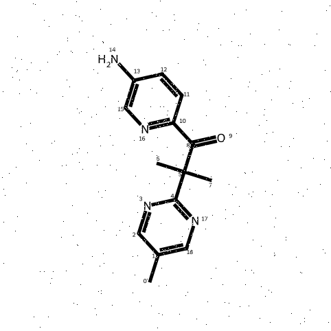 Cc1cnc(C(C)(C)C(=O)c2ccc(N)cn2)nc1